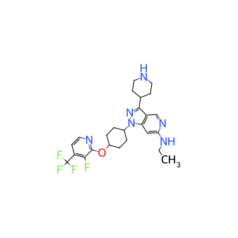 CCNc1cc2c(cn1)c(C1CCNCC1)nn2C1CCC(Oc2nccc(C(F)(F)F)c2F)CC1